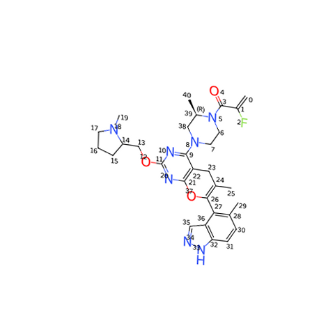 C=C(F)C(=O)N1CCN(c2nc(OCC3CCCN3C)nc3c2CC(C)=C(c2c(C)ccc4[nH]ncc24)O3)C[C@H]1C